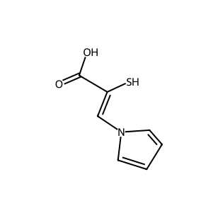 O=C(O)C(S)=Cn1cccc1